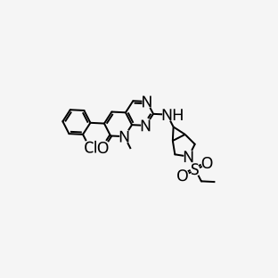 CCS(=O)(=O)N1CC2C(C1)C2Nc1ncc2cc(-c3ccccc3Cl)c(=O)n(C)c2n1